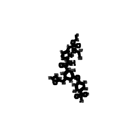 CCOP(=O)(Cc1csc(NC(=O)c2cc(CC3CCO3)cc(Oc3ccc(S(C)(=O)=O)cc3)c2)n1)OCC